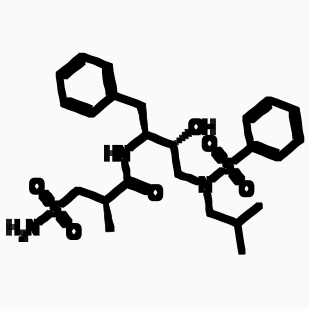 CC(C)CN(C[C@@H](O)[C@H](Cc1ccccc1)NC(=O)[C@@H](C)CS(N)(=O)=O)S(=O)(=O)c1ccccc1